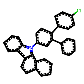 Clc1ccc(-c2ccc(-n3c4ccccc4c4ccc5ccccc5c43)cc2-c2ccccc2)cc1